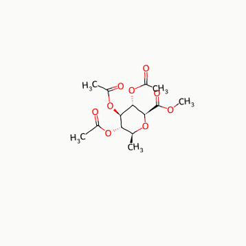 COC(=O)[C@H]1O[C@@H](C)[C@H](OC(C)=O)[C@@H](OC(C)=O)[C@@H]1OC(C)=O